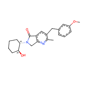 COc1cccc(Cc2cc3c(nc2C)CN([C@H]2CCCC[C@@H]2O)C3=O)c1